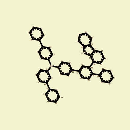 c1ccc(-c2ccc(N(c3ccc(-c4ccc(-c5ccccc5)c(-c5cccc6c5sc5ccccc56)c4)cc3)c3cccc(-c4ccccc4)c3)cc2)cc1